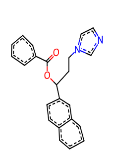 O=C(OC(CCn1ccnc1)c1ccc2ccccc2c1)c1ccccc1